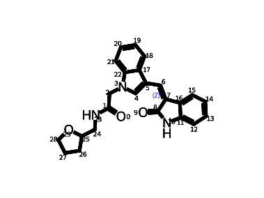 O=C(Cn1cc(/C=C2\C(=O)Nc3ccccc32)c2ccccc21)NCC1CCCO1